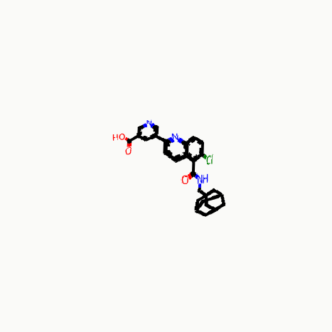 O=C(O)c1cncc(-c2ccc3c(C(=O)NCC45CC6CC(CC(C6)C4)C5)c(Cl)ccc3n2)c1